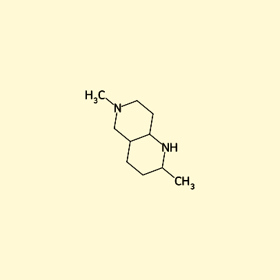 CC1CCC2CN(C)CCC2N1